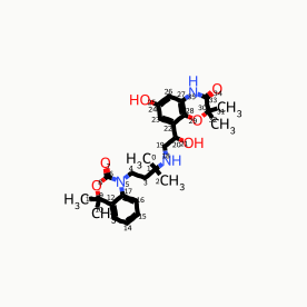 CC(C)(CCN1C(=O)OC(C)(C)c2ccccc21)NCC(O)c1cc(O)cc2c1OC(C)(C)C(=O)N2